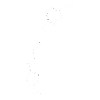 COc1ccc(OCCCCCOc2ccc(OC)cc2)cc1